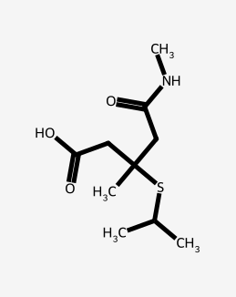 CNC(=O)CC(C)(CC(=O)O)SC(C)C